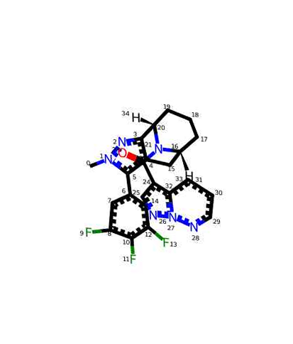 Cn1nc2c(c1-c1cc(F)c(F)c(F)c1)C[C@H]1CCC[C@@H]2N1C(=O)c1cnn2ncccc12